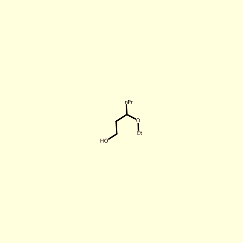 CCCC(CCO)OCC